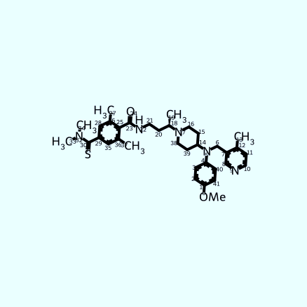 COc1ccc(N(Cc2cnccc2C)C2CCN([C@H](C)CCNC(=O)c3c(C)cc(C(=S)N(C)C)cc3C)CC2)cc1